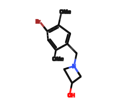 COc1cc(CN2CC(O)C2)c(OC)cc1Br